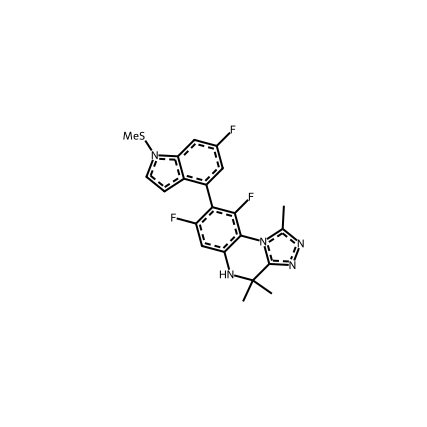 CSn1ccc2c(-c3c(F)cc4c(c3F)-n3c(C)nnc3C(C)(C)N4)cc(F)cc21